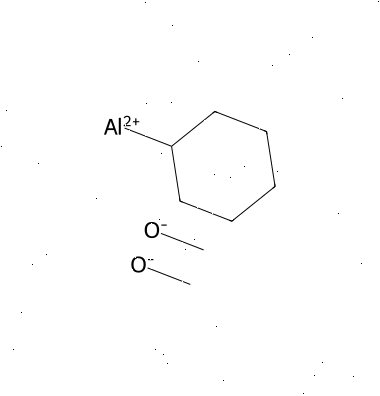 C[O-].C[O-].[Al+2][CH]1CCCCC1